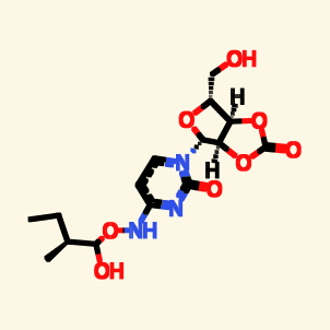 CC[C@H](C)C(O)ONc1ccn([C@@H]2O[C@H](CO)[C@H]3OC(=O)O[C@H]32)c(=O)n1